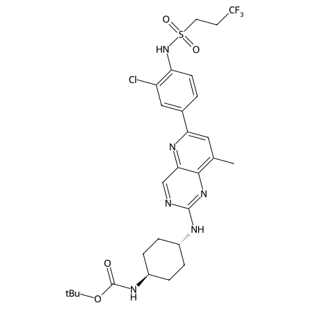 Cc1cc(-c2ccc(NS(=O)(=O)CCC(F)(F)F)c(Cl)c2)nc2cnc(N[C@H]3CC[C@H](NC(=O)OC(C)(C)C)CC3)nc12